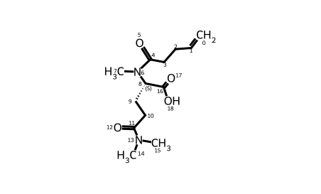 C=CCCC(=O)N(C)[C@@H](CCC(=O)N(C)C)C(=O)O